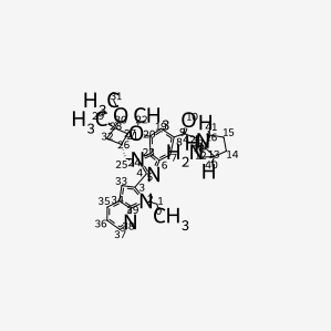 CCn1c(-c2nc3cc(C(=O)N4C[C@H]5CC[C@@H]4[C@@H]5N)cc(OC)c3n2C[C@H]2C[C@@](C)(OC)C2)cc2cccnc21